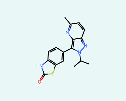 Cc1ccc2nn(C(C)C)c(-c3ccc4[nH]c(=O)sc4c3)c2n1